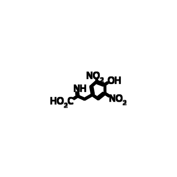 N=C(Cc1cc([N+](=O)[O-])c(O)c([N+](=O)[O-])c1)C(=O)O